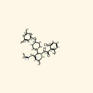 C/N=C\S/C(=C/C(F)F)C(CNC(=O)c1c(F)cccc1Cl)N1CCC(Oc2cc(F)nc(C)n2)CC1